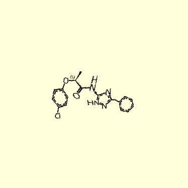 C[C@H](Oc1ccc(Cl)cc1)C(=O)Nc1nc(-c2ccccc2)n[nH]1